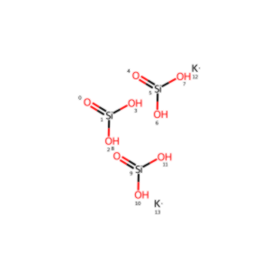 O=[Si](O)O.O=[Si](O)O.O=[Si](O)O.[K].[K]